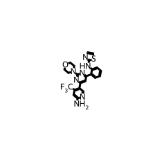 Nc1cc(C(F)(F)F)c(-c2cc(-c3ccccc3Nc3nccs3)nc(N3CCOCC3)n2)cn1